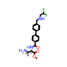 COC(=O)[C@@H](NC(=O)c1ccc(-c2ccc(CNCC(F)F)cc2)cc1)[C@@H](C)N